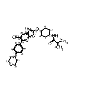 CC(C)C(=O)N[C@H]1CC[C@H](Oc2nc3nc(-c4ccc(N5CCOCC5)cc4)c(Cl)cc3[nH]2)CC1